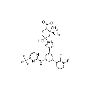 CC1(C)CC(O)(c2ncc(-c3cc(Nc4nccc(C(F)(F)F)n4)cc(-c4cccc(F)c4F)c3)s2)CCC1C(=O)O